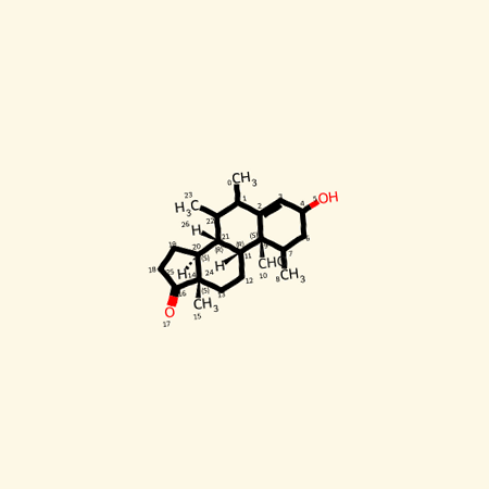 CC1C2=CC(O)CC(C)[C@]2(C=O)[C@@H]2CC[C@]3(C)C(=O)CC[C@H]3[C@@H]2C1C